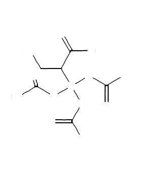 CCC(C(O)=S)[Si](OC(C)=O)(OC(C)=O)OC(C)=O